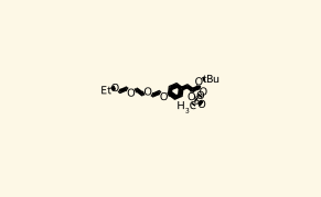 CCOCCOCCOCCOc1ccc(CC(OS(C)(=O)=O)C(=O)OC(C)(C)C)cc1